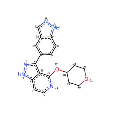 c1cc2[nH]nc(-c3ccc4[nH]ncc4c3)c2c(OC2CCOCC2)n1